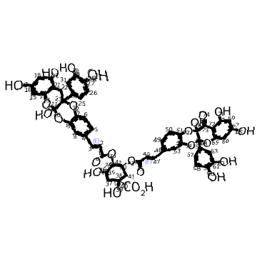 O=C(/C=C/c1ccc2c(c1)OC1(O)Oc3cc(O)cc(O)c3CC1(c1ccc(O)c(O)c1)O2)O[C@@H]1[C@H](O)C[C@@](O)(C(=O)O)C[C@H]1OC(=O)/C=C/c1ccc2c(c1)OC1(c3ccc(O)c(O)c3)Oc3cc(O)cc(O)c3C(=O)C1(O)O2